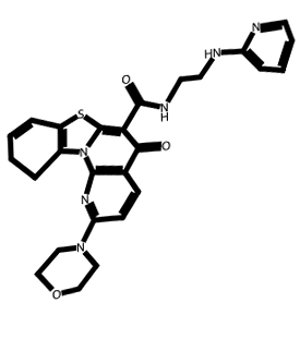 O=C(NCCNc1ccccn1)c1c(=O)c2ccc(N3CCOCC3)nc2n2c3c(sc12)C=CCC3